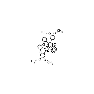 CCOc1ccc(C2=NC(c3ccccc3Cl)(C3(c4ccccc4Cl)N=C(c4ccc(OCC)c(OCC)c4)C(c4ccccc4Cl)=N3)N=C2c2ccccc2Cl)cc1OCC